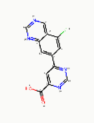 O=C(O)c1cc(-c2cc(Cl)c3cncnc3c2)ncn1